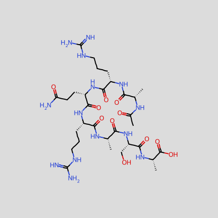 CC(=O)N[C@@H](C)C(=O)N[C@@H](CCCNC(=N)N)C(=O)N[C@@H](CCC(N)=O)C(=O)N[C@@H](CCCNC(=N)N)C(=O)N[C@@H](C)C(=O)N[C@@H](CO)C(=O)N[C@@H](C)C(=O)O